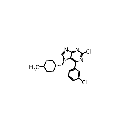 C[C@H]1CC[C@H](Cn2cnc3nc(Cl)nc(-c4cccc(Cl)c4)c32)CC1